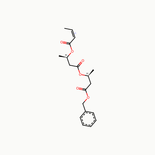 C/C=C\C(=O)O[C@H](C)CC(=O)O[C@@H](C)CC(=O)OCc1ccccc1